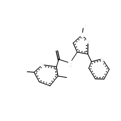 Cn1cc(NC(=O)c2nc(Br)ccc2I)c(-c2ccccn2)n1